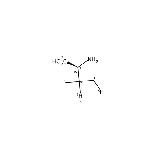 [3H]CC([3H])(C)[C@H](N)C(=O)O